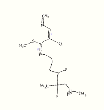 C=N/C=C(Cl)\C(=N/CCC(F)C(C)(F)CNC)SC